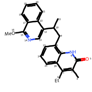 CCc1c(C)c(=O)[nH]c2c(CC(C)c3cnc(OC)c4ccccc34)cccc12